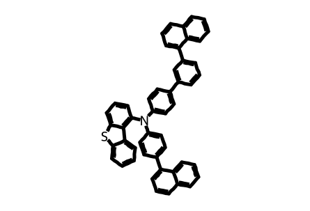 c1cc(-c2ccc(N(c3ccc(-c4cccc5ccccc45)cc3)c3cccc4sc5ccccc5c34)cc2)cc(-c2cccc3ccccc23)c1